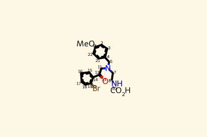 COc1ccc(CN(CCNC(=O)O)CC(=O)c2ccccc2Br)cc1